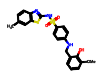 COc1cccc(CNc2ccc(S(=O)(=O)Nc3nc4ccc(C)cc4s3)cc2)c1O